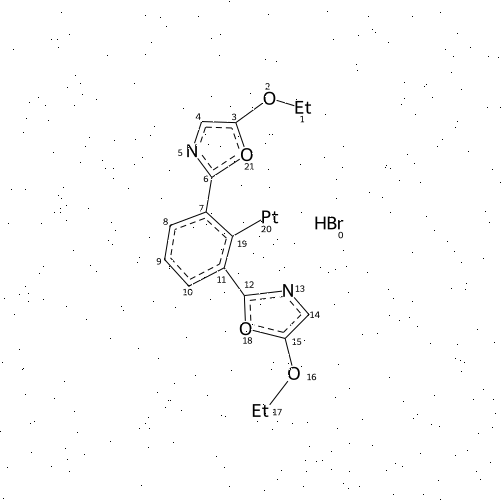 Br.CCOc1cnc(-c2cccc(-c3ncc(OCC)o3)[c]2[Pt])o1